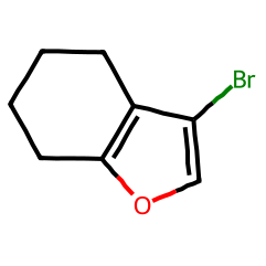 Brc1coc2c1CCCC2